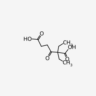 CCC(CC)(C(=O)O)C(=O)CCC(=O)O